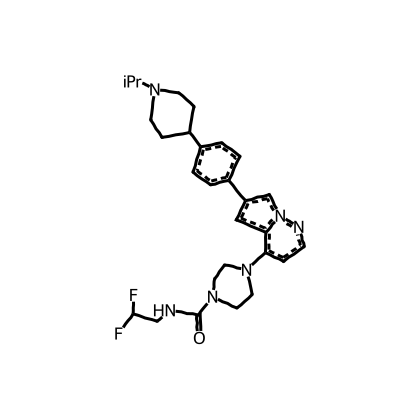 CC(C)N1CCC(c2ccc(-c3cc4c(N5CCN(C(=O)NCC(F)F)CC5)ccnn4c3)cc2)CC1